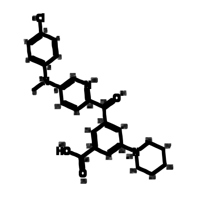 CN(c1ccc(Cl)cc1)c1ccc(C(=O)c2cc(C(=O)O)cc(N3CCCCC3)c2)nc1